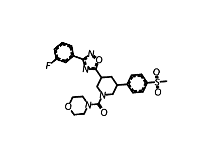 CS(=O)(=O)c1ccc(C2CC(c3nc(-c4cccc(F)c4)no3)CN(C(=O)N3CCOCC3)C2)cc1